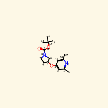 Cc1cc(OC2CCN(C(=O)OC(C)(C)C)C2)cc(C)n1